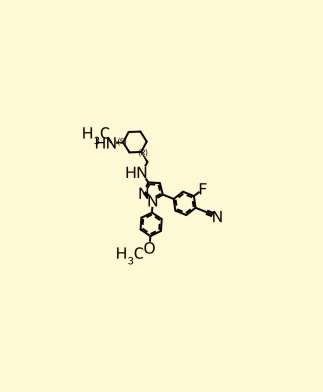 CN[C@H]1CCC[C@@H](CNc2cc(-c3ccc(C#N)c(F)c3)n(-c3ccc(OC)cc3)n2)C1